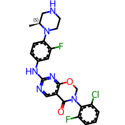 C[C@H]1CNCCN1c1ccc(Nc2ncc3c(n2)OCN(c2c(F)cccc2Cl)C3=O)cc1F